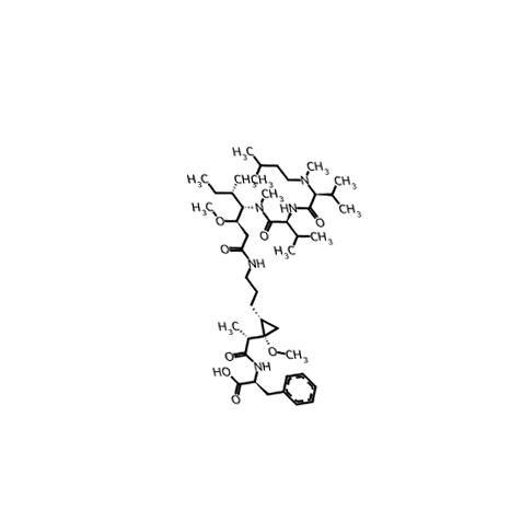 CC[C@H](C)[C@@H]([C@@H](CC(=O)NCCC[C@@H]1C[C@@]1(OC)[C@@H](C)C(=O)N[C@@H](Cc1ccccc1)C(=O)O)OC)N(C)C(=O)[C@@H](NC(=O)[C@H](C(C)C)N(C)CCC(C)C)C(C)C